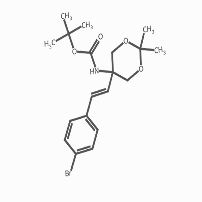 CC(C)(C)OC(=O)NC1(/C=C/c2ccc(Br)cc2)COC(C)(C)OC1